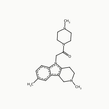 Cc1ccc2c(c1)c1c(n2CC(=O)N2CCN(C)CC2)CCN(C)C1